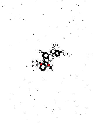 COc1ccc(S(=O)(=O)c2cc(Cl)cc3c2NC(=O)C3(O[Si](C)(C)C)c2ccccc2OC(F)(F)F)c(OC)c1